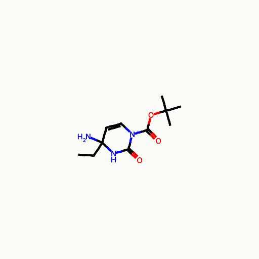 CCC1(N)C=CN(C(=O)OC(C)(C)C)C(=O)N1